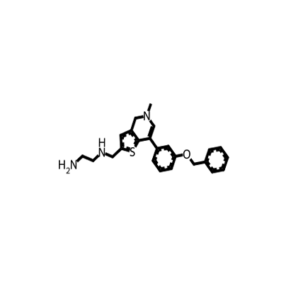 CN1C=C(c2cccc(OCc3ccccc3)c2)c2sc(CNCCN)cc2C1